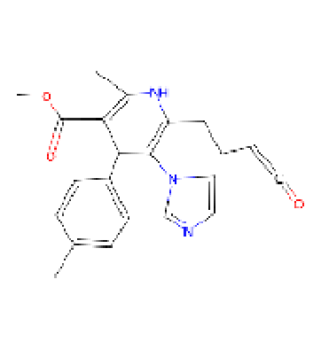 COC(=O)C1=C(C)NC(CCC=C=O)=C(n2ccnc2)C1c1ccc(C)cc1